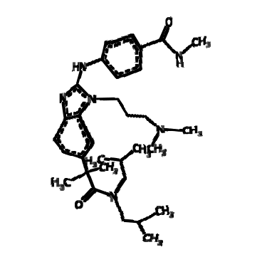 CNC(=O)c1ccc(Nc2nc3ccc(C(C)(C)C(=O)N(CC(C)C)CC(C)C)cc3n2CCCN(C)C)cc1